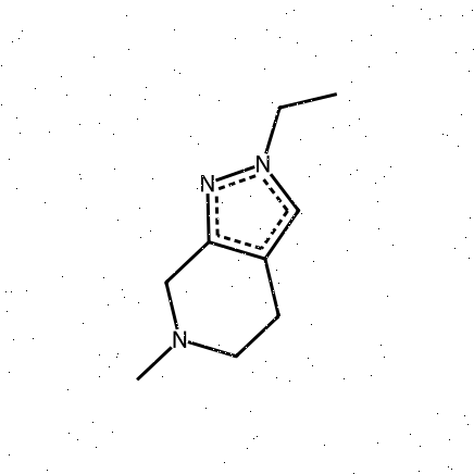 CCn1cc2c(n1)CN(C)CC2